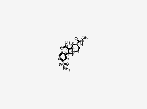 CC(C)(C)NC(=O)N1CCn2nc(-c3cccc(S(N)(=O)=O)c3)c(C(N)=O)c2C1